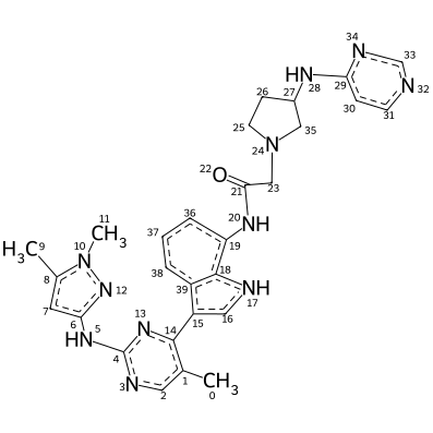 Cc1cnc(Nc2cc(C)n(C)n2)nc1-c1c[nH]c2c(NC(=O)CN3CCC(Nc4ccncn4)C3)cccc12